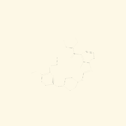 CCOc1cc(CN2CCC(Nc3nc4cccc(C(=O)N(CC)CC)c4o3)CC2)ccc1OC